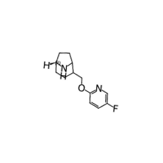 Fc1ccc(OCC2CC[C@@H]3CCC2N3)nc1